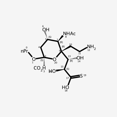 CCCO[C@@]1(C(=O)O)C[C@H](O)[C@@H](NC(C)=O)[C@](CCN)([C@H](O)[C@H](O)C(O)=S)O1